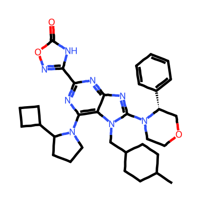 CC1CCC(Cn2c(N3CCOC[C@H]3c3ccccc3)nc3nc(-c4noc(=O)[nH]4)nc(N4CCCC4C4CCC4)c32)CC1